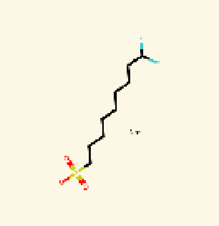 O=S(=O)([O-])CCCCCCCCC(F)F.[Na+]